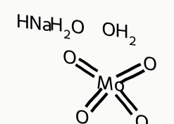 O.O.[NaH].[O]=[Mo](=[O])(=[O])=[O]